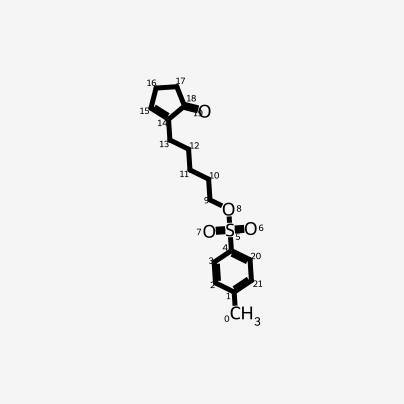 Cc1ccc(S(=O)(=O)OCCCCCC2=CCCC2=O)cc1